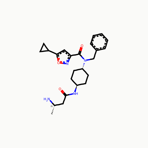 C[C@H](N)CC(=O)N[C@H]1CC[C@H](N(Cc2ccccc2)C(=O)c2cc(C3CC3)on2)CC1